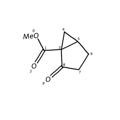 COC(=O)C12CC1CCC2=O